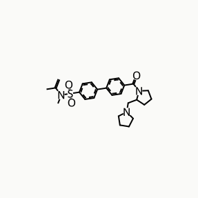 C=C(C)N(C)S(=O)(=O)c1ccc(-c2ccc(C(=O)N3CCCC3CN3CCCC3)cc2)cc1